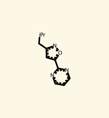 CC(C)Cc1cc(-c2ncccn2)on1